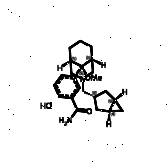 CO[C@]1(c2cccc(C(N)=O)c2)[C@@H]2CCC[C@H]1CN(C[C@@H]1C[C@@H]3C[C@@H]3C1)C2.Cl